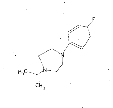 CC(C)N1CCN(C2=CCC(F)C=C2)CC1